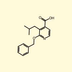 CC(C)Cc1c(C(=O)O)ccnc1OCc1ccccc1